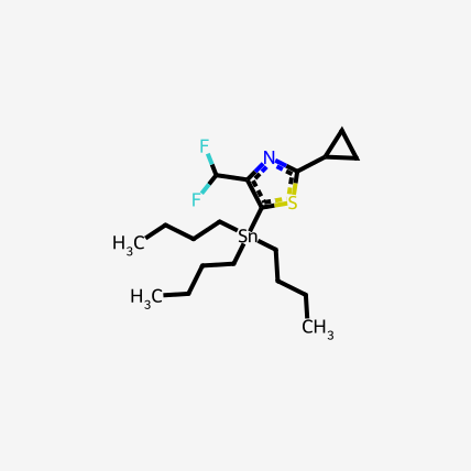 CCC[CH2][Sn]([CH2]CCC)([CH2]CCC)[c]1sc(C2CC2)nc1C(F)F